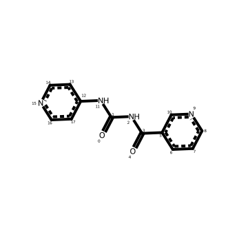 O=C(NC(=O)c1cccnc1)Nc1ccncc1